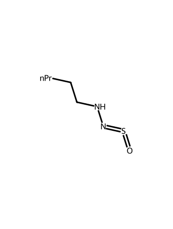 CCCCCNN=S=O